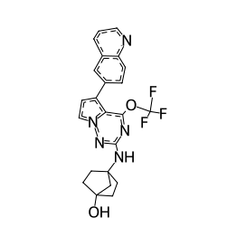 OC12CCC(Nc3nc(OC(F)(F)F)c4c(-c5ccc6ncccc6c5)ccn4n3)(CC1)C2